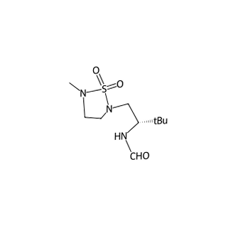 CN1CCN(C[C@@H](NC=O)C(C)(C)C)S1(=O)=O